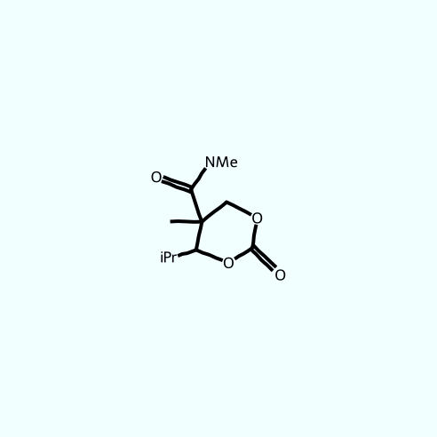 CNC(=O)C1(C)COC(=O)OC1C(C)C